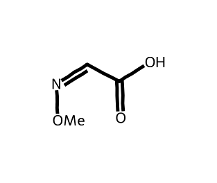 CO/N=C\C(=O)O